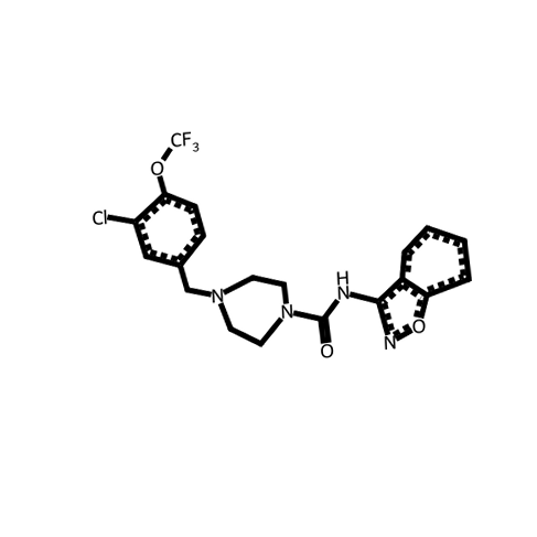 O=C(Nc1noc2ccccc12)N1CCN(Cc2ccc(OC(F)(F)F)c(Cl)c2)CC1